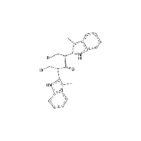 Cc1c(C(CBr)C(=O)C(CBr)c2[nH]c3ccccc3c2C)[nH]c2ccccc12